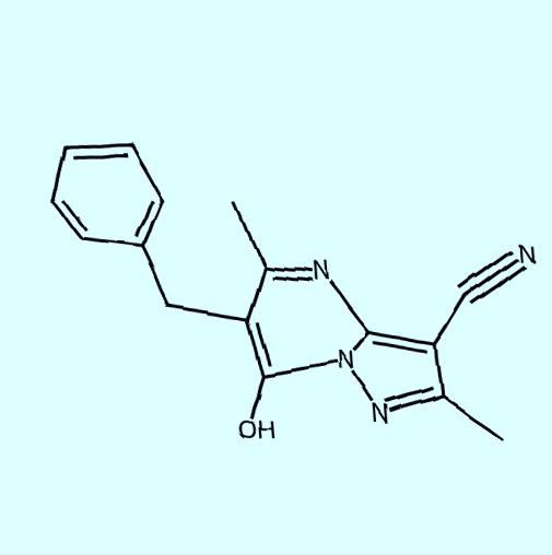 Cc1nc2c(C#N)c(C)nn2c(O)c1Cc1ccccc1